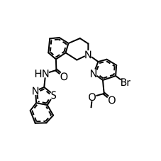 COC(=O)c1nc(N2CCc3cccc(C(=O)Nc4nc5ccccc5s4)c3C2)ccc1Br